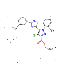 CSCOC(=O)c1nn(-c2ccccc2C(C)C)c(-c2nc(-c3cccc(C)c3)ns2)c1Cl